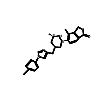 Cc1ccc(-n2cnc(CN3C[C@@H](c4ccc5c(c4C)COC5=O)N[C@@H](C)C3)c2)cc1